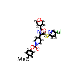 COc1ccc(OC(=O)N2CCC(c3nc(C4CCOCC4)oc3Sc3ccc(Cl)cn3)CC2)cc1